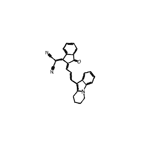 N#CC(C#N)=C1/C(=C/C=C/c2c3n(c4ccccc24)CCCC3)C(=O)c2ccccc21